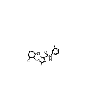 Cc1cccc(NC(=O)c2cc(C)n(Cc3c(Cl)cccc3Cl)n2)c1